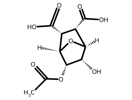 CC(=O)O[C@H]1[C@@H](O)[C@H]2O[C@@H]1[C@H](C(=O)O)[C@@H]2C(=O)O